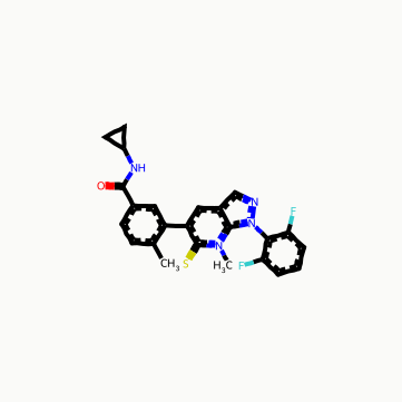 Cc1ccc(C(=O)NC2CC2)cc1-c1cc2cnn(-c3c(F)cccc3F)c2n(C)c1=S